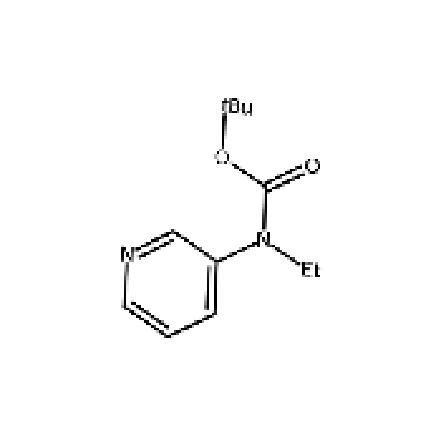 CCN(C(=O)OC(C)(C)C)c1cccnc1